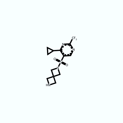 O=S(=O)(c1cnc(C(F)(F)F)nc1C1CC1)N1CC2(CNC2)C1